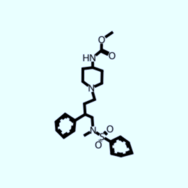 COC(=O)NC1CCN(CCC(CN(C)S(=O)(=O)c2ccccc2)c2ccccc2)CC1